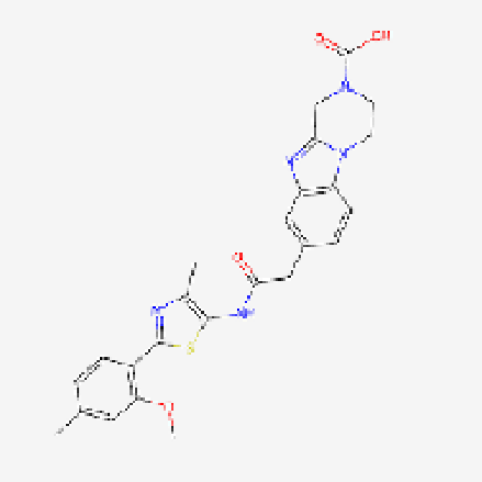 COc1cc(C)ccc1-c1nc(C)c(NC(=O)Cc2ccc3c(c2)nc2n3CCN(C(=O)O)C2)s1